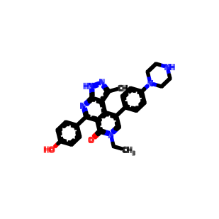 CCn1cc(-c2ccc(N3CCNCC3)cc2)c2c(c(-c3ccc(O)cc3)nc3[nH]nc(C)c32)c1=O